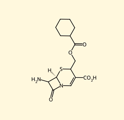 NC1C(=O)N2C=C(C(=O)O)C(COC(=O)C3CCCCC3)S[C@H]12